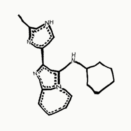 Cc1nc(-c2nc3ccccn3c2NC2CCCCC2)c[nH]1